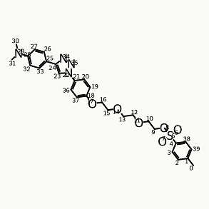 Cc1ccc(S(=O)(=O)OCCOCCOCCOc2ccc(-n3cc(-c4ccc(N(C)C)cc4)nn3)cc2)cc1